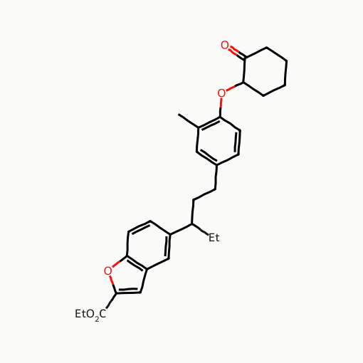 CCOC(=O)c1cc2cc(C(CC)CCc3ccc(OC4CCCCC4=O)c(C)c3)ccc2o1